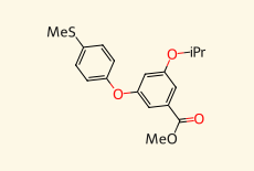 COC(=O)c1cc(Oc2ccc(SC)cc2)cc(OC(C)C)c1